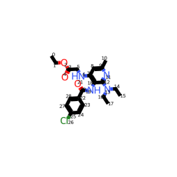 CCOC(=O)CNc1cc(C)nc(N(CC)CC)c1NC(=O)c1ccc(Cl)cc1